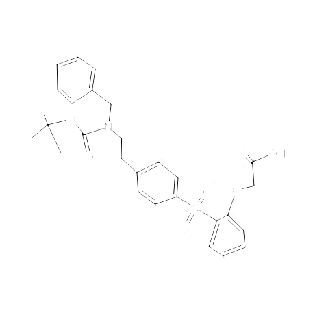 CC(C)(C)OC(=O)N(CCc1ccc(S(=O)(=O)c2ccccc2OCC(=O)O)cc1)Cc1ccccc1